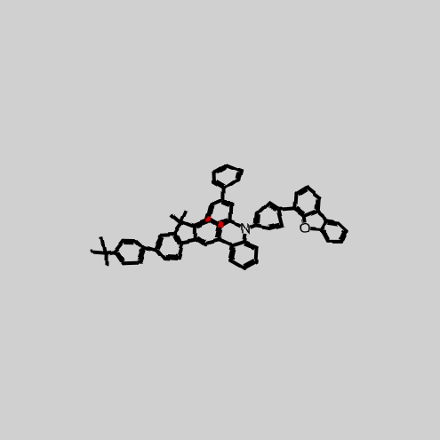 CC(C)(C)c1ccc(-c2ccc3c(c2)C(C)(C)c2ccc(-c4ccccc4N(c4ccc(-c5cccc6c5oc5ccccc56)cc4)c4cccc(-c5ccccc5)c4)cc2-3)cc1